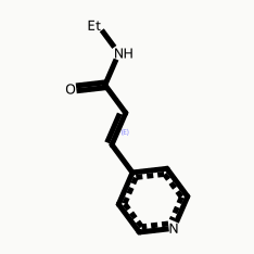 CCNC(=O)/C=C/c1ccncc1